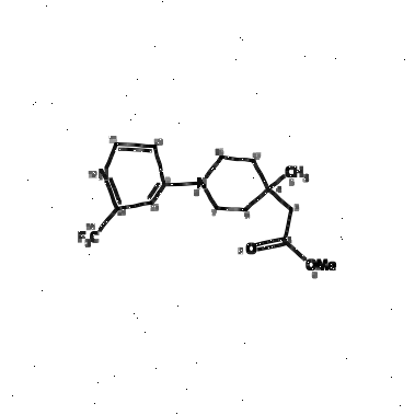 COC(=O)CC1(C)CCN(c2ccnc(C(F)(F)F)c2)CC1